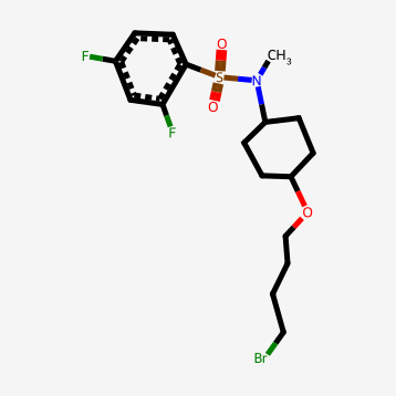 CN(C1CCC(OCCCCBr)CC1)S(=O)(=O)c1ccc(F)cc1F